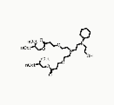 CCCCCCCCC(CCCCCCCC)COC(=O)CCOCCN(CCOCCC(=O)OCC(CCCCCCCC)CCCCCCCC)CCN(CCO)C1CCCCC1